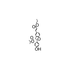 CCCOC(=O)/C=C/c1ccc2c(c1)[C@@H](C(=O)OC(C)C)[C@H](c1ccc(O)cc1)O2